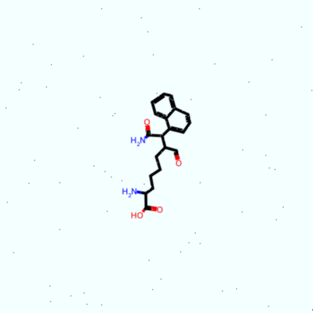 NC(=O)C(c1cccc2ccccc12)C(C=O)CCCCC(N)C(=O)O